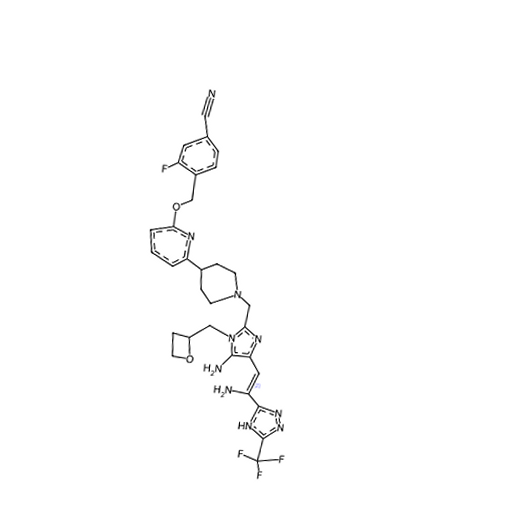 N#Cc1ccc(COc2cccc(C3CCN(Cc4nc(/C=C(\N)c5nnc(C(F)(F)F)[nH]5)c(N)n4CC4CCO4)CC3)n2)c(F)c1